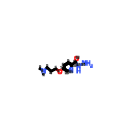 CN(C)CCCOc1ccc(C(=O)NN)nc1